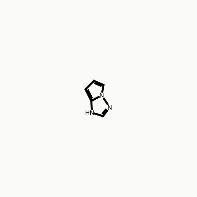 [c]1cc2[nH][c]nn2c1